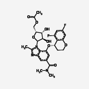 CC(=O)OC[C@H]1OC(n2c(C)nc3cc(C(=O)N(C)C)cc(O[C@H]4CCOc5cc(F)cc(F)c54)c32)[C@H](O)[C@H]1O